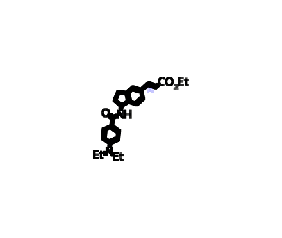 CCOC(=O)/C=C/c1ccc2c(c1)CCC2NC(=O)c1ccc(N(CC)CC)cc1